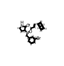 C=CCON(Cc1cccc(Br)c1)C1CCNC1=O.c1cc2ccc1-2